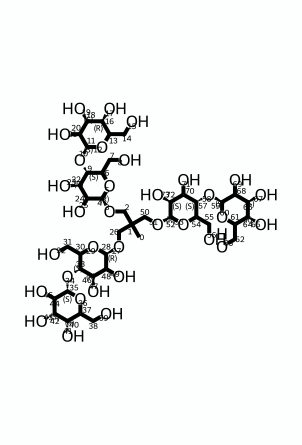 CC(CO[C@@H]1OC(CO)[C@@H](O[C@@H]2OC(CO)[C@H](O)[C@H](O)C2O)[C@H](O)C1O)(CO[C@@H]1OC(CO)[C@@H](O[C@@H]2OC(CO)[C@H](O)[C@H](O)C2O)[C@H](O)C1O)CO[C@@H]1OC(CO)[C@@H](O[C@@H]2OC(CO)[C@H](O)[C@H](O)C2O)C(O)[C@@H]1O